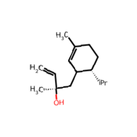 C=C[C@](C)(O)CC1C=C(C)CC[C@@H]1C(C)C